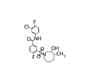 CC1CCCCN(S(=O)(=O)c2cc(C(=O)Nc3ccc(F)c(Cl)c3)ccc2F)CC1O